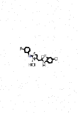 CN1/C(=N/c2cccc(F)c2)SCC1CC(=O)Nc1ccc(Cl)cc1F.Cl